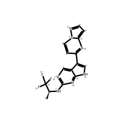 C[C@H](Nc1ncc2c(-c3ccn4nccc4n3)c[nH]c2n1)C(F)(F)F